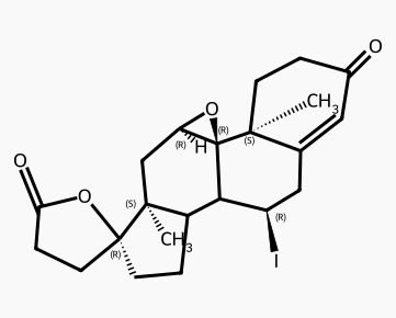 C[C@]12CCC(=O)C=C1C[C@@H](I)C1C3CC[C@@]4(CCC(=O)O4)[C@@]3(C)C[C@H]3O[C@@]132